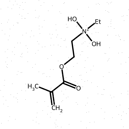 C=C(C)C(=O)OCC[N+](O)(O)CC